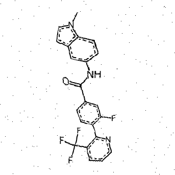 Cn1ccc2cc(NC(=O)c3ccc(-c4ncccc4C(F)(F)F)c(F)c3)ccc21